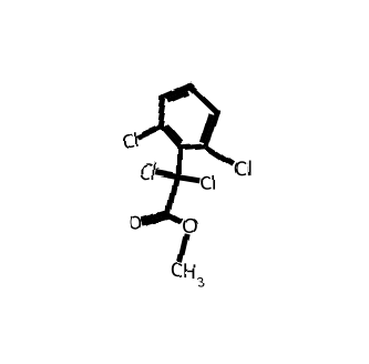 COC(=O)C(Cl)(Cl)c1c(Cl)cccc1Cl